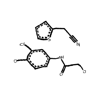 N#CCc1cccs1.O=C(CCl)Nc1ccc(Cl)c(Cl)c1